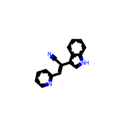 N#CC(=Cc1ccccn1)c1c[nH]c2ccccc12